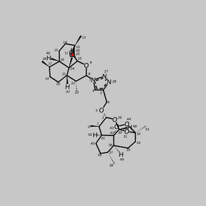 C[C@H]1[C@H](OCc2cn(C3O[C@@H]4O[C@]5(C)CC[C@H]6[C@H](C)CC[C@@H]([C@H]3C)[C@@]46OO5)nn2)O[C@@H]2O[C@]3(C)CC[C@H]4[C@H](C)CC[C@@H]1[C@@]24OO3